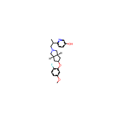 COc1ccc(F)c(O[C@H]2C[C@@H]3CN(CC(C)c4ccc(O)cn4)C[C@@H]3C2)c1